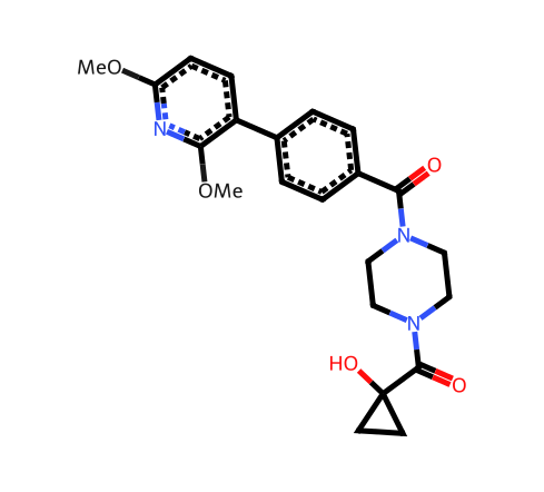 COc1ccc(-c2ccc(C(=O)N3CCN(C(=O)C4(O)CC4)CC3)cc2)c(OC)n1